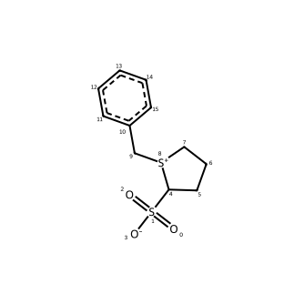 O=S(=O)([O-])C1CCC[S+]1Cc1ccccc1